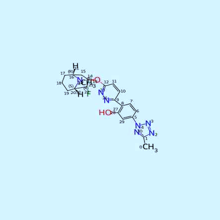 Cc1nnn(-c2ccc(-c3ccc(O[C@@H]4C[C@H]5CCC[C@@H]([C@H]4F)N5C)nn3)c(O)c2)n1